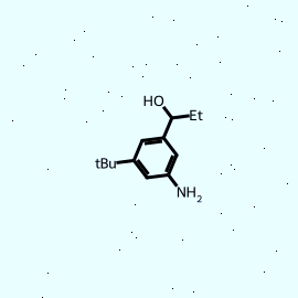 CCC(O)c1cc(N)cc(C(C)(C)C)c1